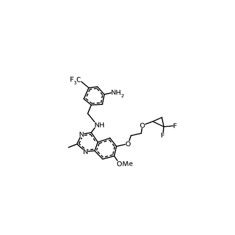 COc1cc2nc(C)nc(NCc3cc(N)cc(C(F)(F)F)c3)c2cc1OCCOC1CC1(F)F